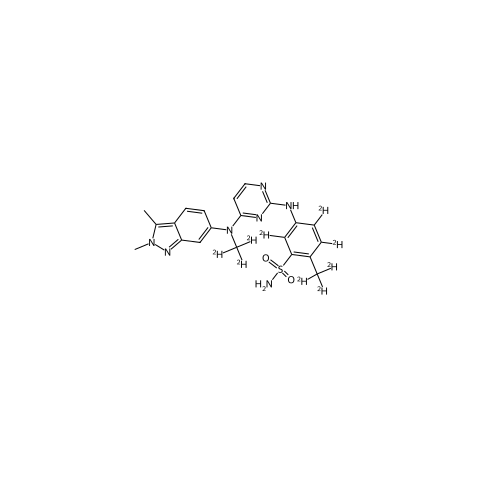 [2H]c1c([2H])c(C([2H])([2H])[2H])c(S(N)(=O)=O)c([2H])c1Nc1nccc(N(c2ccc3c(C)n(C)nc3c2)C([2H])([2H])[2H])n1